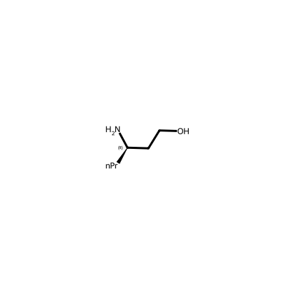 CCC[C@@H](N)CCO